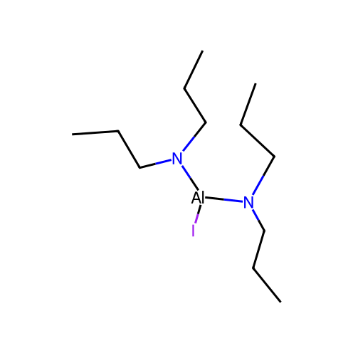 CCC[N](CCC)[Al]([I])[N](CCC)CCC